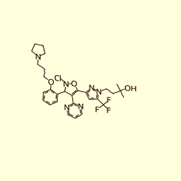 CC(C)(O)CCn1nc(C2=C(c3ncccn3)C(c3ccccc3OCCCN3CCCC3)N(Cl)O2)cc1C(F)(F)F